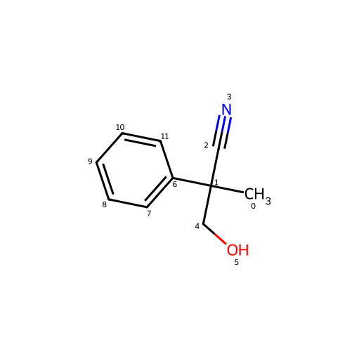 CC(C#N)(CO)c1ccccc1